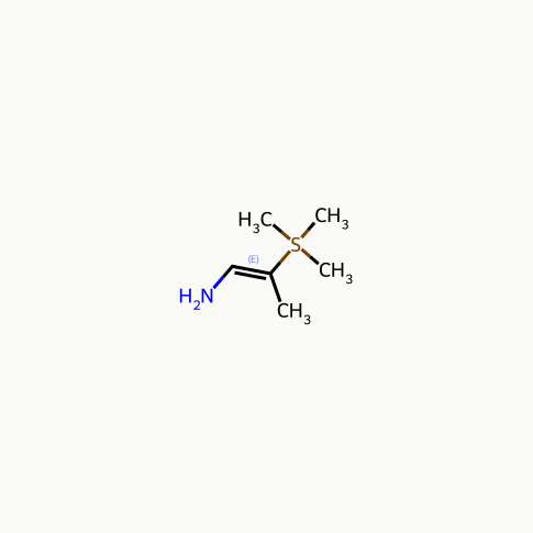 C/C(=C\N)S(C)(C)C